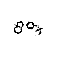 C=CS(=O)(=O)Nc1ccc([C@@H]2CC[C@H]3CCCCN32)cc1